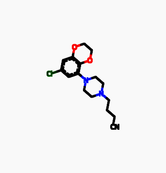 N#CCCCN1CCN(c2cc(Cl)cc3c2OCCO3)CC1